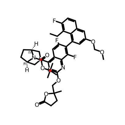 CCc1c(F)ccc2cc(OCOC)cc(-c3c(F)cc4c(N5C[C@H]6CC[C@@H](C5)N6C(=O)OC(C)(C)C)nc(OCC5(C)CCC(=O)O5)nc4c3F)c12